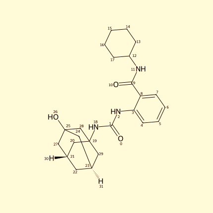 O=C(Nc1ccccc1C(=O)NC1CCCCC1)NC12C[C@@H]3C[C@@H](CC(O)(C3)C1)C2